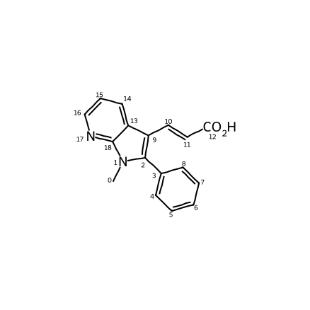 Cn1c(-c2ccccc2)c(/C=C/C(=O)O)c2cccnc21